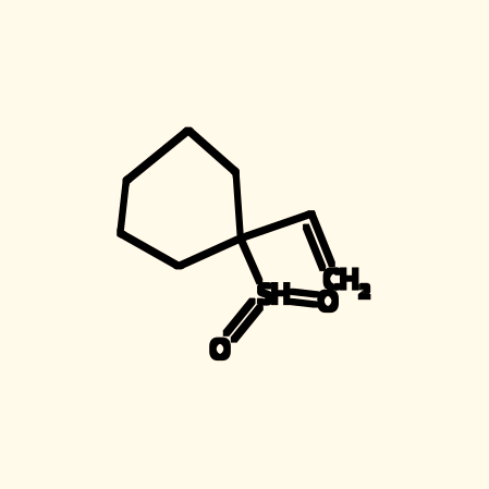 C=CC1([SH](=O)=O)CCCCC1